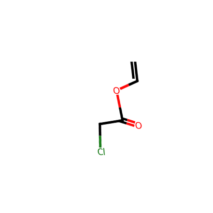 C=COC(=O)CCl